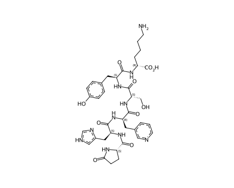 NCCCC[C@@H](NC(=O)[C@H](Cc1ccc(O)cc1)NC(=O)[C@H](CO)NC(=O)[C@@H](Cc1cccnc1)NC(=O)[C@H](Cc1c[nH]cn1)NC(=O)[C@@H]1CCC(=O)N1)C(=O)O